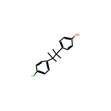 CC(C)(c1ccc(O)cc1)C(C)(C)c1ccc(Cl)cc1